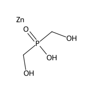 O=P(O)(CO)CO.[Zn]